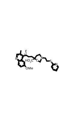 COc1ccc2ncc(C)c([C@H](F)CCC3(C(=O)O)CCN(CCSc4ccccn4)CC3)c2c1